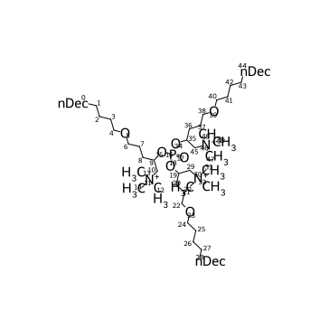 CCCCCCCCCCCCCCOCCCC(C[N+](C)(C)C)OP(=O)(OC(CCCOCCCCCCCCCCCCCC)C[N+](C)(C)C)OC(CCCOCCCCCCCCCCCCCC)C[N+](C)(C)C